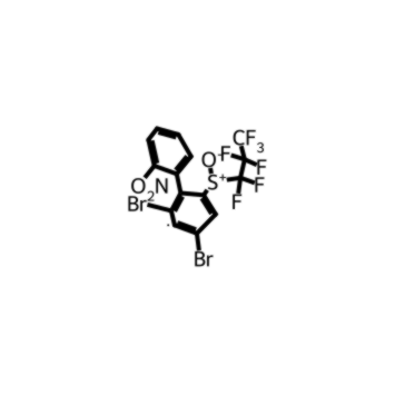 O=[N+]([O-])c1ccccc1-c1c(Br)[c]c(Br)cc1[S+]([O-])C(F)(F)C(F)(F)C(F)(F)F